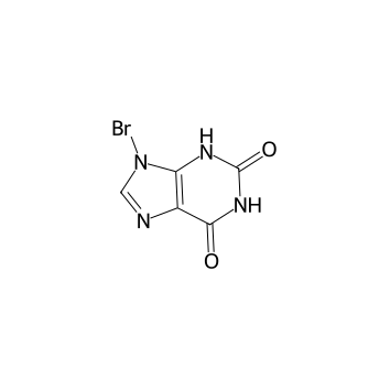 O=c1[nH]c(=O)c2ncn(Br)c2[nH]1